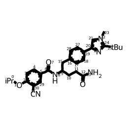 CC(C)Oc1ccc(C(=O)NC(CCC(N)=O)Cc2ccc(-c3cn(C)c(C(C)(C)C)n3)cc2)cc1C#N